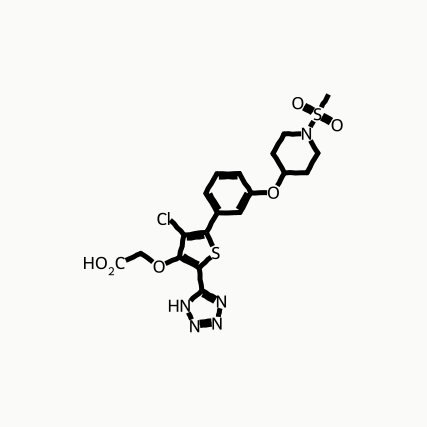 CS(=O)(=O)N1CCC(Oc2cccc(-c3sc(-c4nnn[nH]4)c(OCC(=O)O)c3Cl)c2)CC1